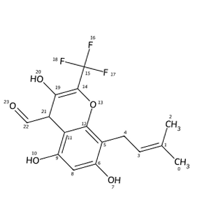 CC(C)=CCc1c(O)cc(O)c2c1OC(C(F)(F)F)=C(O)C2C=O